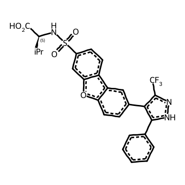 CC(C)[C@H](NS(=O)(=O)c1ccc2c(c1)oc1ccc(-c3c(C(F)(F)F)n[nH]c3-c3ccccc3)cc12)C(=O)O